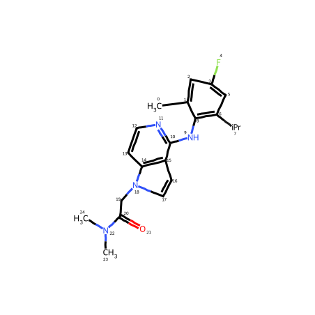 Cc1cc(F)cc(C(C)C)c1Nc1nccc2c1ccn2CC(=O)N(C)C